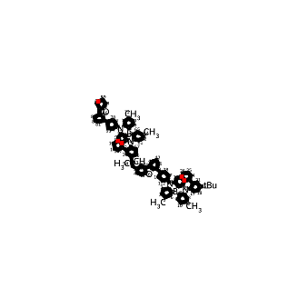 Cc1ccc2c(c1)B1c3ccc(C)cc3N(c3ccc(C(C)(C)C)cc3-c3ccccc3)c3cccc(c31)N2c1ccc(-c2cccc3c2oc2ccc(CC(C)(C)c4ccc(N5c6ccc(C)cc6B6c7ccc(C)cc7N(c7ccc(-c8cccc9c8oc8ccccc89)cc7)c7cccc5c76)c(-c5ccccc5)c4)cc23)cc1